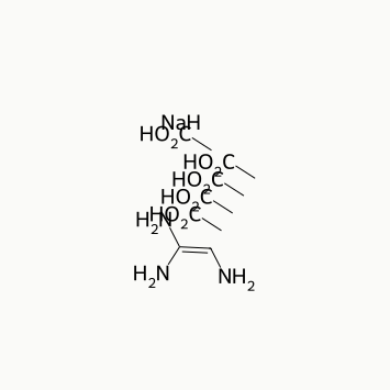 CC(=O)O.CC(=O)O.CC(=O)O.CC(=O)O.CC(=O)O.NC=C(N)N.[NaH]